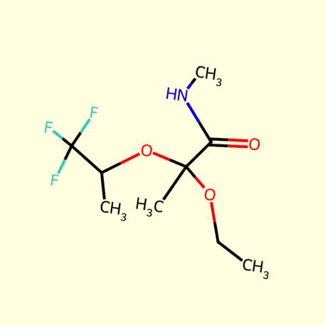 CCOC(C)(OC(C)C(F)(F)F)C(=O)NC